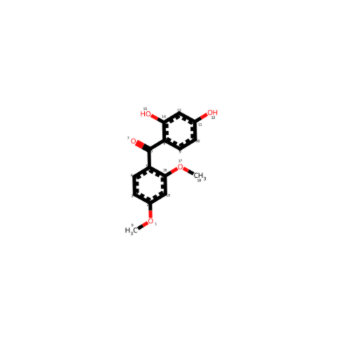 COc1ccc(C(=O)c2ccc(O)cc2O)c(OC)c1